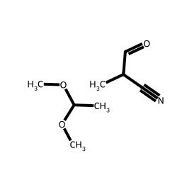 CC(C#N)C=O.COC(C)OC